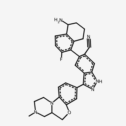 CN1CCN2c3ccc(-c4n[nH]c5cc(C#N)c(-c6c(F)ccc7c6CCCC7N)cc45)cc3OCC2C1